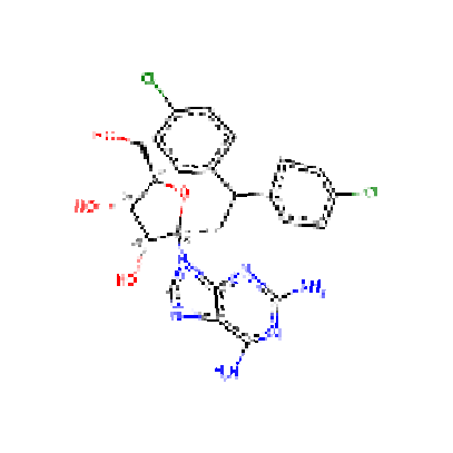 Nc1nc(N)c2ncn([C@]3(CC(c4ccc(Cl)cc4)c4ccc(Cl)cc4)O[C@H](CO)[C@@H](O)[C@H]3O)c2n1